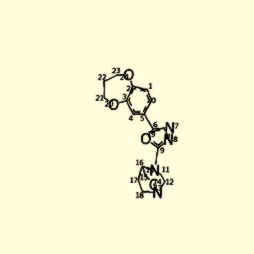 c1cc2c(cc1-c1nnc(N3CCN4CCC3CC4)o1)OCCCO2